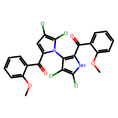 COc1ccccc1C(=O)c1[nH]c(Cl)c(Cl)c1-n1c(C(=O)c2ccccc2OC)cc(Cl)c1Cl